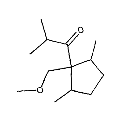 COCC1(C(=O)C(C)C)C(C)CCC1C